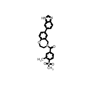 Cc1cc(C(=O)N2CCOc3ccc(-c4ccc5nc[nH]c5c4)cc3C2)ccc1S(C)(=O)=O